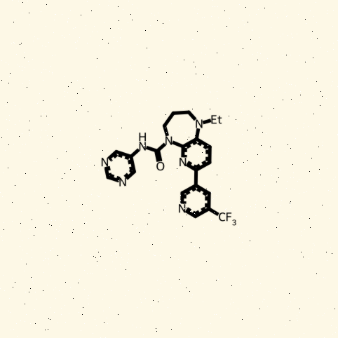 CCN1CCCN(C(=O)Nc2cncnc2)c2nc(-c3cncc(C(F)(F)F)c3)ccc21